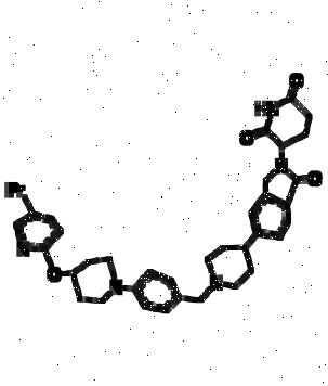 CC(C)c1ccc(OC2CCN(c3ccc(CN4CCC(c5ccc6c(c5)CN(C5CCC(=O)NC5=O)C6=O)CC4)cc3)CC2)nc1